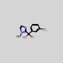 CCCCn1ccnc1C(O)(CC)c1cccc(C(F)(F)F)c1